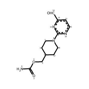 NC(=O)OCC1CCN(c2nccc(C=O)n2)CC1